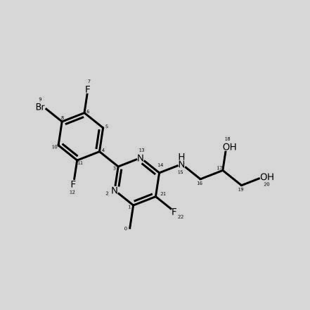 Cc1nc(-c2cc(F)c(Br)cc2F)nc(NCC(O)CO)c1F